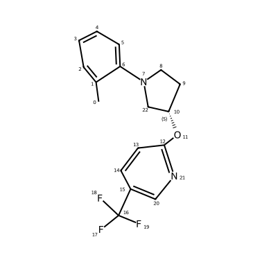 Cc1ccccc1N1CC[C@H](Oc2ccc(C(F)(F)F)cn2)C1